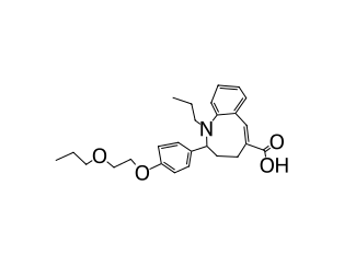 CCCOCCOc1ccc(C2CCC(C(=O)O)=Cc3ccccc3N2CCC)cc1